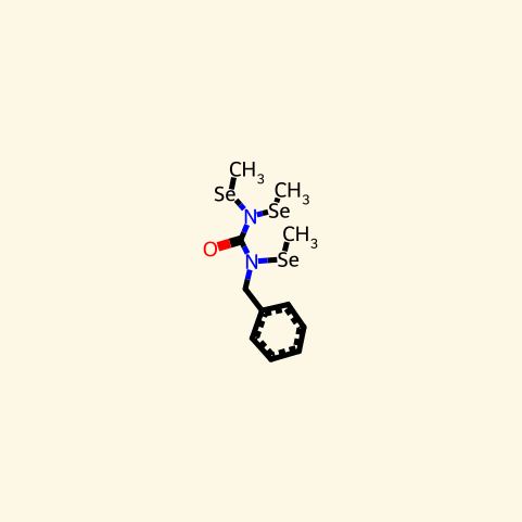 C[Se]N(Cc1ccccc1)C(=O)N([Se]C)[Se]C